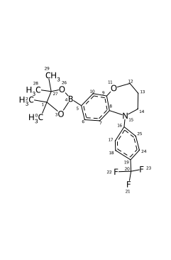 CC1(C)OB(c2ccc3c(c2)OCCCN3c2ccc(C(F)(F)F)cc2)OC1(C)C